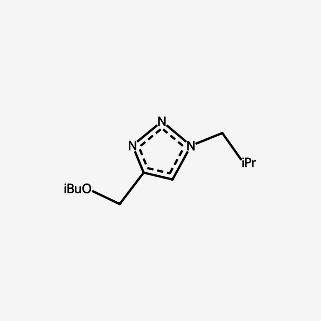 CC(C)COCc1cn(CC(C)C)nn1